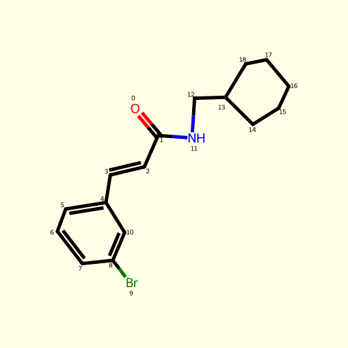 O=C(/C=C/c1cccc(Br)c1)NCC1CCCCC1